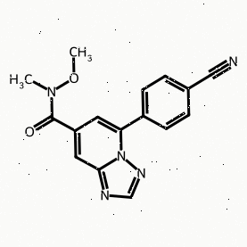 CON(C)C(=O)c1cc(-c2ccc(C#N)cc2)n2ncnc2c1